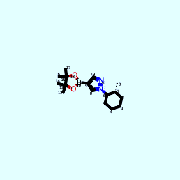 C[C@@H]1CCCCC1n1cc(B2OC(C)(C)C(C)(C)O2)cn1